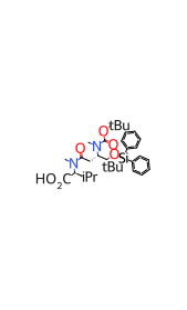 CC(C)[C@@H](C(=O)O)N(C)C(=O)C[C@@H](CO[Si](c1ccccc1)(c1ccccc1)C(C)(C)C)N(C)C(=O)OC(C)(C)C